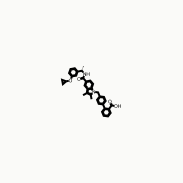 Cc1c(C)n(Cc2ccc(-c3ccccc3C(=O)O)cc2)c2ccc(C(=O)N[C@@H](C)c3cccc(OC4CC4)c3)cc12